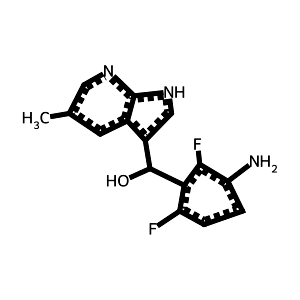 Cc1cnc2[nH]cc(C(O)c3c(F)ccc(N)c3F)c2c1